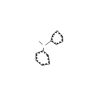 [CH3][In]([c]1ccccc1)[c]1ccccc1